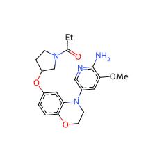 CCC(=O)N1CCC(Oc2ccc3c(c2)N(c2cnc(N)c(OC)c2)CCO3)C1